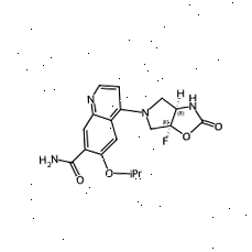 CC(C)Oc1cc2c(N3C[C@H]4NC(=O)O[C@@]4(F)C3)ccnc2cc1C(N)=O